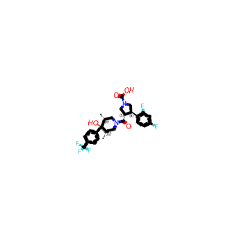 C[C@@H]1CN(C(=O)[C@@H]2CN(C(=O)O)C[C@H]2c2ccc(F)cc2F)C[C@H](C)[C@@]1(O)c1ccc(C(F)(F)F)cc1